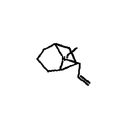 C=CC[N+]1(C)C2CCCC1CC2